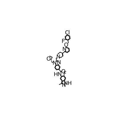 Cc1n[nH]c2cc(F)c(NC(=O)c3ccc4c(c3)nc(CN3CC=C(c5cccc(OCc6ccc(Cl)cc6F)n5)CC3)n4C[C@@H]3CCO3)cc12